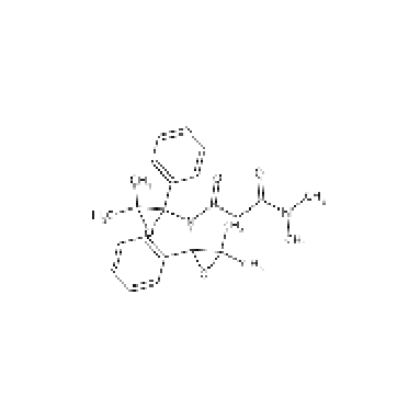 CN(C)C(=O)CC(=O)N(C1(c2ccccc2)OC1(C)C)C1(c2ccccc2)OC1(C)C